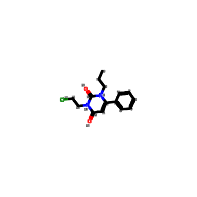 CCCn1c(-c2ccccc2)cc(=O)n(CCCl)c1=O